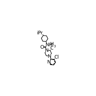 CC(C)C1CCC(NC(=O)N2CCN(c3ncccc3Cl)C[C@H]2C)CC1